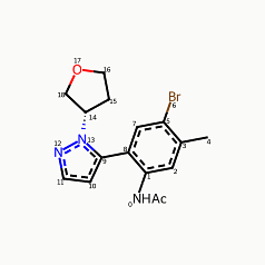 CC(=O)Nc1cc(C)c(Br)cc1-c1ccnn1[C@H]1CCOC1